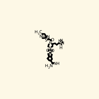 CC1Cc2nc(C(=O)N3CCN(S(=O)(=O)n4cc5ccc(C(=N)N)cc5c4)CC3CCc3nnn[nH]3)sc2CN1